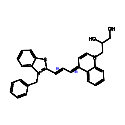 OCC(O)CN1C=C/C(=C\C=C\c2sc3ccccc3[n+]2Cc2ccccc2)c2ccccc21